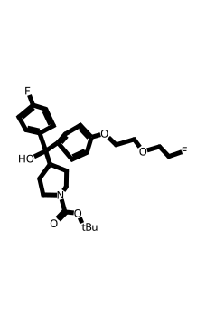 CC(C)(C)OC(=O)N1CCC(C(O)(c2ccc(F)cc2)c2ccc(OCCOCCF)cc2)CC1